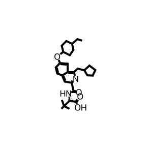 CCC1CCC(Oc2ccc3cc(C(=O)N[C@@H](C(=O)O)C(C)(C)C)nc(CC4CCCC4)c3c2)CC1